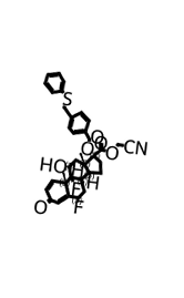 C[C@]12C=CC(=O)C=C1[C@@H](F)C[C@H]1[C@@H]3CC[C@@](OC(=O)c4ccc(CSc5ccccc5)cc4)(C(=O)OCC#N)[C@@]3(C)C[C@H](O)C12F